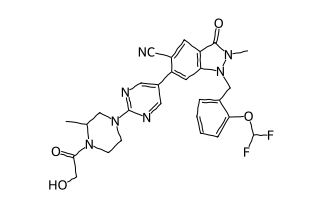 CC1CN(c2ncc(-c3cc4c(cc3C#N)c(=O)n(C)n4Cc3ccccc3OC(F)F)cn2)CCN1C(=O)CO